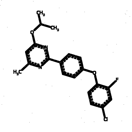 Cc1cc(OC(C)C)nc(-c2ccc(Oc3ccc(Cl)cc3F)cc2)n1